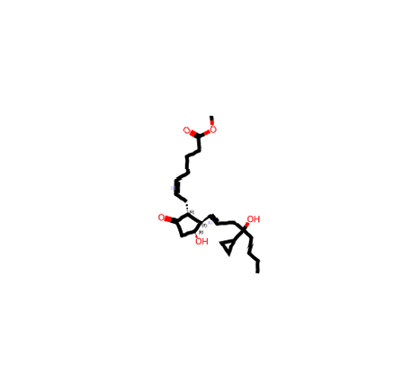 CCCCC(O)(C/C=C/[C@H]1[C@H](O)CC(=O)[C@@H]1C/C=C\CCCC(=O)OC)C1CC1